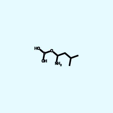 CC(C)CC(N)OB(O)O